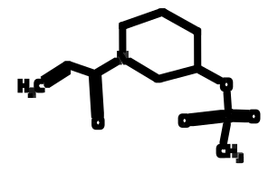 C=CC(=O)N1CCCC(OS(C)(=O)=O)C1